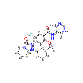 Cc1ncnc(C)c1NC(=O)c1cc(F)c(-n2nc3n(c2=O)CCCC3)cc1OC(C)C1CCCCC1